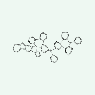 c1ccc(N(c2ccc3c(c2)-c2ccccc2N(c2ccccc2)c2ccccc2-3)c2ccc3c(c2)-c2ccccc2-c2ccccc2C32c3ccccc3-c3cc4c(cc32)sc2ccccc24)cc1